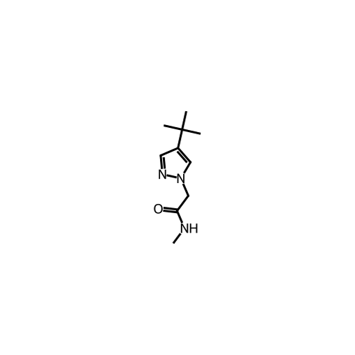 CNC(=O)Cn1cc(C(C)(C)C)cn1